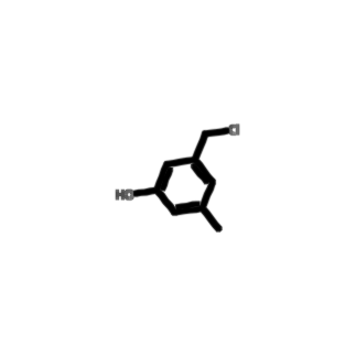 Cc1cc(O)cc(CCl)c1